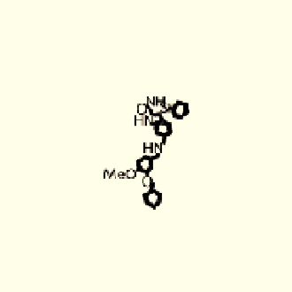 COc1ccc(CNCc2ccc3c(Sc4ccccc4)c(C(N)=O)[nH]c3c2)cc1OCc1ccccc1